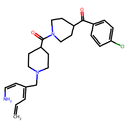 C=C/C=C(\C=C/N)CN1CCC(C(=O)N2CCC(C(=O)c3ccc(Cl)cc3)CC2)CC1